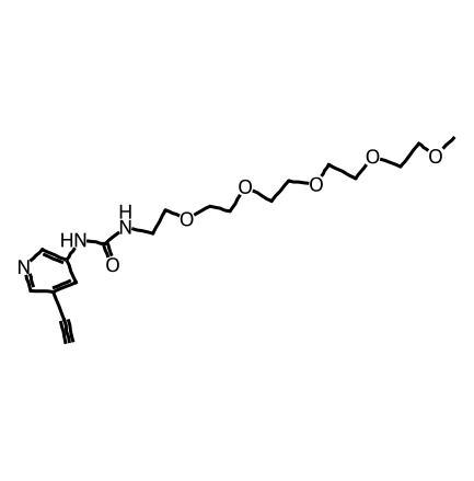 C#Cc1cncc(NC(=O)NCCOCCOCCOCCOCCOC)c1